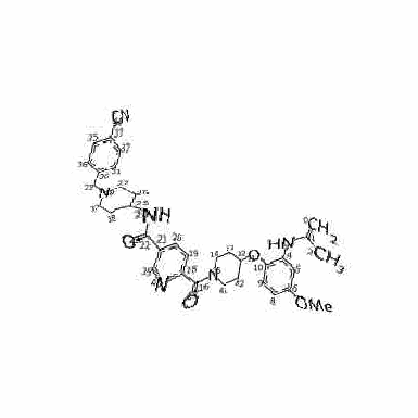 C=C(C)Nc1cc(OC)ccc1OC1CCN(C(=O)c2ccc(C(=O)NC3CCN(Cc4ccc(C#N)cc4)CC3)cn2)CC1